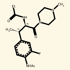 CCC(=O)N[C@@H](C(=O)N1CCN(C)CC1)[C@@H](C)c1ccc(NC(C)=O)c(F)c1